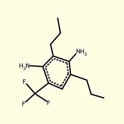 CCCc1cc(C(F)(F)F)c(N)c(CCC)c1N